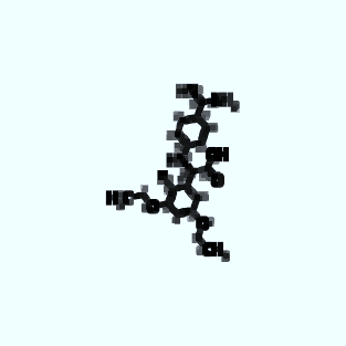 CCOc1cc(OCC)c(F)c([C@@H](Nc2ccc(C(=N)N)cc2)C(=O)O)c1